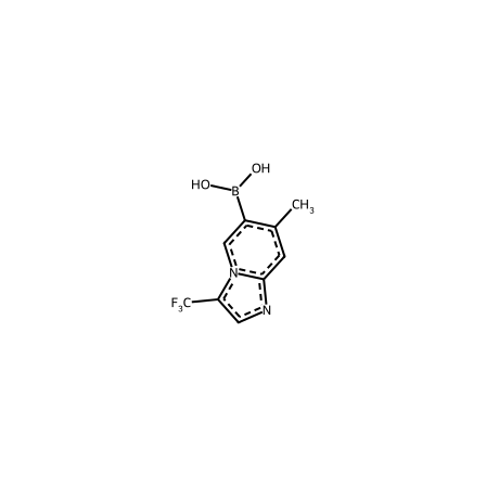 Cc1cc2ncc(C(F)(F)F)n2cc1B(O)O